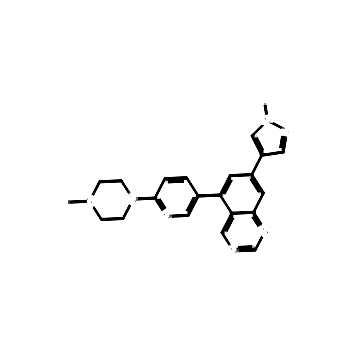 Cn1cc(-c2cc(-c3ccc(N4CCN(Cl)CC4)nc3)c3cncnc3c2)cn1